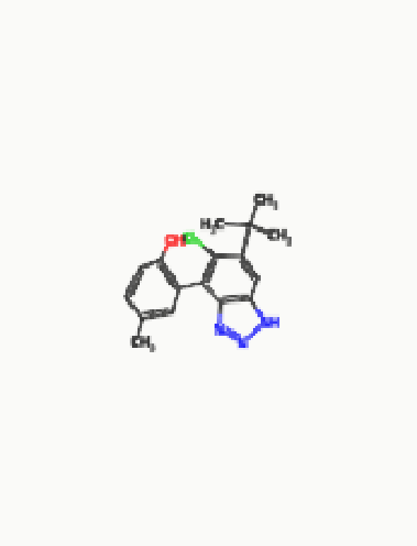 Cc1ccc(O)c(-c2c(Cl)c(C(C)(C)C)cc3[nH]nnc23)c1